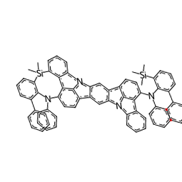 C[Si](C)(C)c1cccc(-c2ccccc2)c1N(c1ccccc1)c1ccc2c3cc4c(cc3n3c5ccccc5c1c23)c1ccc2c3c5c(cccc5n4c13)[Si](C)(C)c1cccc(-c3ccccc3)c1N2c1ccccc1